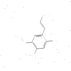 CCCCOc1cc(/C=C/C(=O)OCC)c(C#N)cc1OC